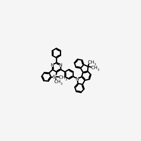 CC1(C)c2ccccc2-c2c1ccc1c3ccccc3n(-c3ccc(-c4nc(-c5ccccc5)nc5c4[Si](C)(C)c4ccccc4-5)cc3)c21